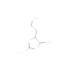 CC1OC(C=O)C(CCC=O)O1